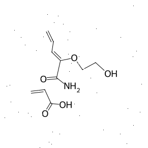 C=CC(=O)O.C=CC=C(OCCO)C(N)=O